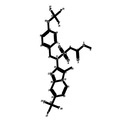 COC(=O)CS(=O)(=O)N(Cc1ccc(OC(F)(F)F)cc1)c1nc2cc(C(F)(F)F)ccn2c1C